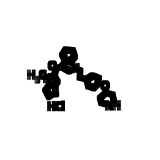 Cl.Cn1c(C(=O)c2cn(CCc3ccc(OC4CCNCC4)cc3)c3ccccc23)cc2sccc21